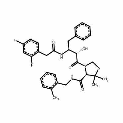 Cc1ccccc1CNC(=O)[C@H]1N(C(=O)[C@@H](O)[C@H](Cc2ccccc2)NC(=O)Cc2ccc(F)cc2F)CSC1(C)C